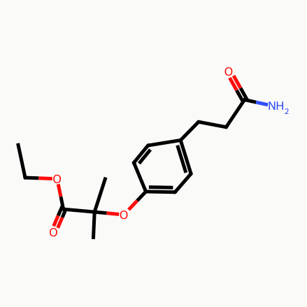 CCOC(=O)C(C)(C)Oc1ccc(CCC(N)=O)cc1